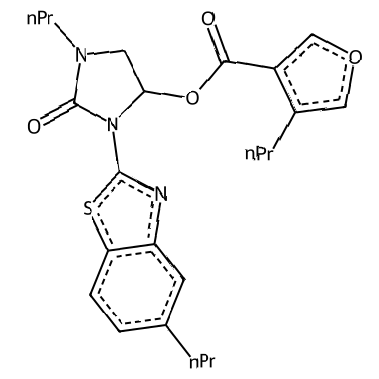 CCCc1ccc2sc(N3C(=O)N(CCC)CC3OC(=O)c3cocc3CCC)nc2c1